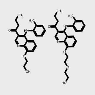 CCCC(=O)c1cnc2c(OCCO)cccc2c1Nc1ccccc1C.CCCC(=O)c1cnc2c(OCCOCCO)cccc2c1Nc1ccccc1C